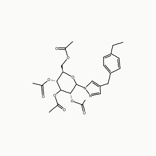 CCc1ccc(Cc2cnn(C3O[C@H](COC(C)=O)[C@@H](OC(C)=O)C(OC(C)=O)[C@H]3OC(C)=O)c2)cc1